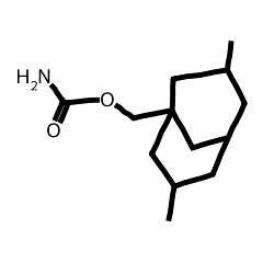 CC1CC2CC(C)CC(COC(N)=O)(C1)C2